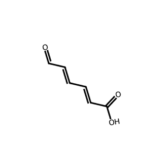 O=CC=CC=CC(=O)O